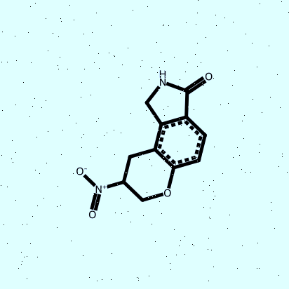 O=C1NCc2c1ccc1c2CC([N+](=O)[O-])CO1